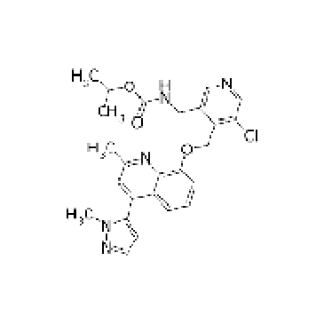 Cc1cc(-c2ccnn2C)c2cccc(OCc3c(Cl)cncc3CNC(=O)OC(C)C)c2n1